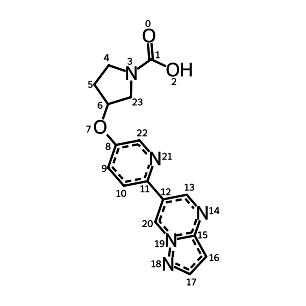 O=C(O)N1CCC(Oc2ccc(-c3cnc4ccnn4c3)nc2)C1